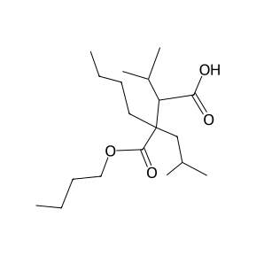 CCCCOC(=O)C(CCCC)(CC(C)C)C(C(=O)O)C(C)C